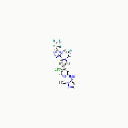 Cn1nccc1Nc1cc(-c2cc3n(c2)C[C@H](F)Cn2c-3nnc2C(F)(F)C(F)F)c(Cl)cn1